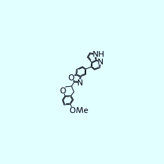 COc1ccc2c(c1)CC(c1nc3cc(-c4ccnc5[nH]ccc45)ccc3o1)CO2